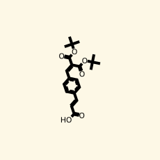 CC(C)(C)OC(=O)C(=Cc1ccc(C=CC(=O)O)cc1)C(=O)OC(C)(C)C